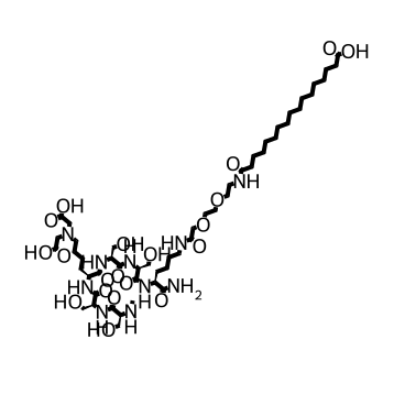 CN[C@@H](CO)C(=O)N[C@@H](CO)C(=O)N[C@@H](CCCCN(CC(=O)O)CC(=O)O)C(=O)N[C@@H](CO)C(=O)N[C@@H](CO)C(=O)N[C@@H](CCCCNC(=O)COCCOCCNC(=O)CCCCCCCCCCCCCCCC(=O)O)C(N)=O